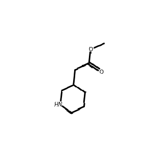 COC(=O)CC1CCCNC1